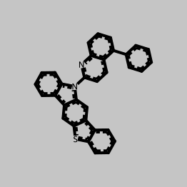 c1ccc(-c2cccc3nc(-n4c5ccccc5c5cc6sc7ccccc7c6cc54)ccc23)cc1